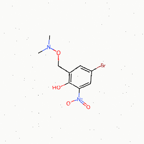 CN(C)OCc1cc(Br)cc([N+](=O)[O-])c1O